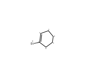 CCC1=CCCCC1